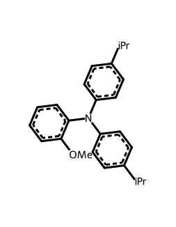 COc1ccccc1N(c1ccc(C(C)C)cc1)c1ccc(C(C)C)cc1